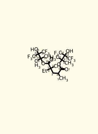 CCC(C)(CC(C)C(=O)OC(C)(C)C(O)(C(F)(F)F)C(F)(F)F)C(=O)OC(C)(C)C(O)(C(F)(F)F)C(F)(F)F